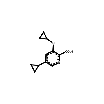 O=C(O)c1ncc(C2CC2)cc1NC1CC1